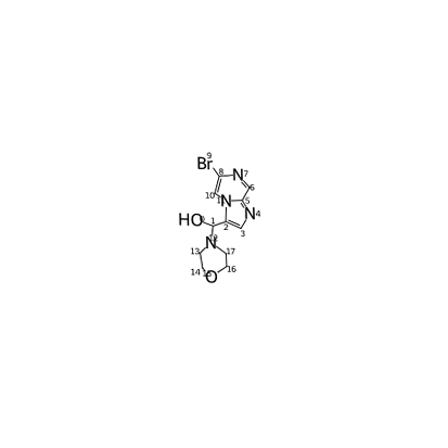 OC(c1cnc2cnc(Br)cn12)N1CCOCC1